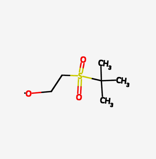 CC(C)(C)S(=O)(=O)CC[O]